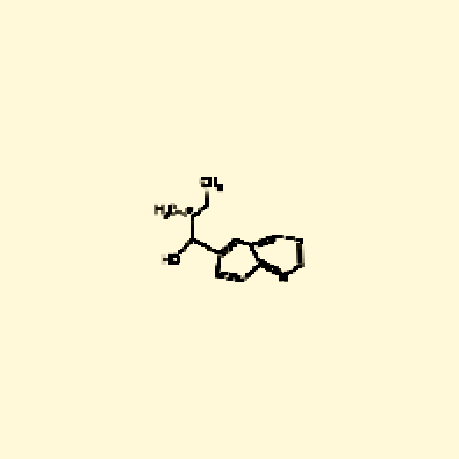 CC[C@@H](C)C(O)c1ccc2ncccc2c1